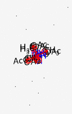 CC(=O)OCC1OC(OCCCCCCNC(=O)CCC(CCC(=O)NCCCCCCOC2OC(COC(C)=O)C(OC(C)=O)C(C)C2C)(CCC(=O)NCCCCCCOC2OC(COC(C)=O)C(OC(C)=O)C(C)C2C)NC(=O)CCCC(=O)OCc2ccccc2)C(C)C(C)C1OC(C)=O